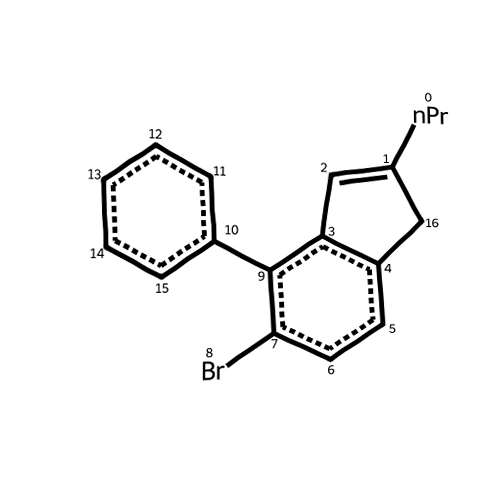 CCCC1=Cc2c(ccc(Br)c2-c2ccccc2)C1